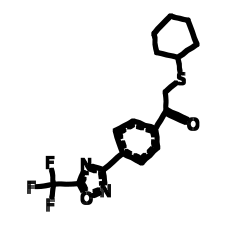 O=C(CSC1CCCCC1)c1ccc(-c2noc(C(F)(F)F)n2)cc1